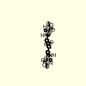 COC(=O)N[C@H](C(=O)N1CCC[C@H]1c1ncc(-c2ccc3oc4cc(-c5ccc6nc([C@@H]7CCCN7C(=O)[C@@H](NC(=O)OC)[C@@H](C)OC)[nH]c6c5)ccc4c(=O)c3c2)[nH]1)[C@@H](C)OC